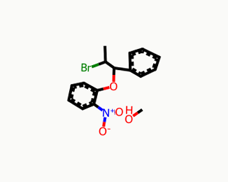 CC(Br)C(Oc1ccccc1[N+](=O)[O-])c1ccccc1.CO